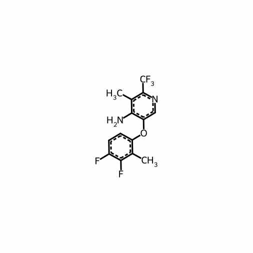 Cc1c(C(F)(F)F)ncc(Oc2ccc(F)c(F)c2C)c1N